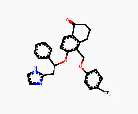 O=C1CCCc2c1ccc(O[C@@H](Cc1ncc[nH]1)c1ccccc1)c2COc1ccc(C(F)(F)F)cc1